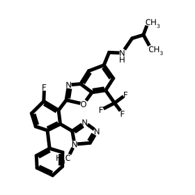 CC(C)CNCc1cc(C(F)(F)F)c2oc(-c3c(F)ccc(-c4ccccc4)c3-c3nncn3C)nc2c1